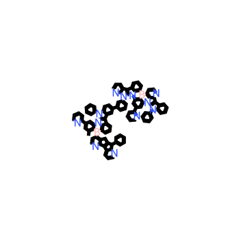 Cc1cc(-c2ccccn2)cc2c1B(c1ccnc3c1CC1=C3c3cccnc3C1c1ccccc1)c1cccc3c4c5cc(-c6cccc(-n7c8ncccc8c8c9cccc%10c9n(c87)-c7cc(-c8ccccn8)cc8c7B%10c7ccnc9c%10c%11ccccc%11n(-c%11ccccc%11)c%10n-8c79)c6)ccc5n(-c5ccccc5)c4n-2c13